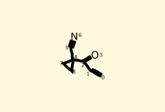 C=CC(=O)C1(C#N)CC1